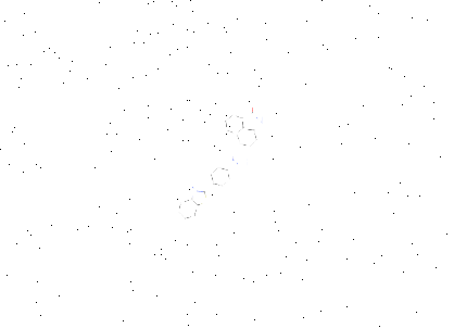 CCN1C(=O)c2cccc3c(SNc4ccc(-c5nc6ccc(C)cc6s5)cc4)ccc1c23